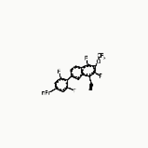 C#Cc1c(F)c(OC(F)(F)F)c(F)c2ccc(-c3c(F)cc(CCC)cc3F)cc12